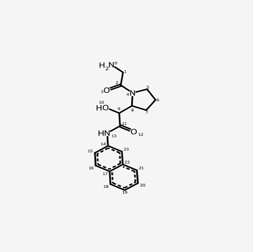 NCC(=O)N1CCCC1C(O)C(=O)Nc1ccc2ccccc2c1